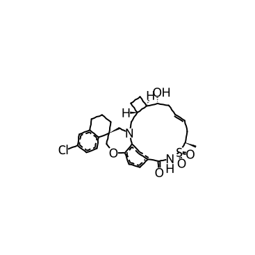 C[C@@H]1C/C=C/C[C@@H](O)[C@@H]2CC[C@H]2CN2C[C@@]3(CCCc4cc(Cl)ccc43)COc3ccc(cc32)C(=O)NS1(=O)=O